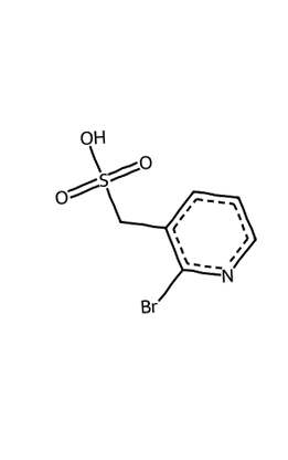 O=S(=O)(O)Cc1cccnc1Br